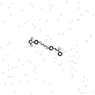 O=C(/C=C/c1ccc(OCCCCOc2ccc(N3C(=O)C=CC3=O)cc2)cc1)c1ccccc1